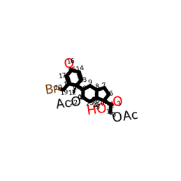 CC(=O)OCC(=O)[C@@]1(O)CCC2CC([C@@]3(C)C=CC(=O)C=C3CBr)[C@@H](OC(C)=O)C[C@@]21C